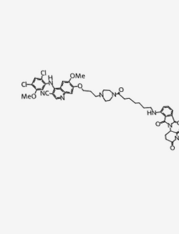 COc1cc(Nc2c(C#N)cnc3cc(OCCCN4CCN(C(=O)CCCCCCNc5cccc6c5C(=O)N(C5CCC(=O)NC5=O)C6=O)CC4)c(OC)cc23)c(Cl)cc1Cl